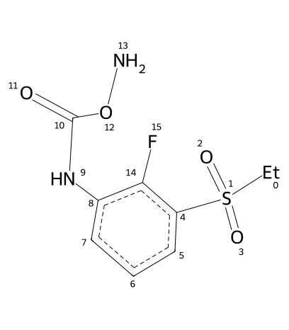 CCS(=O)(=O)c1cccc(NC(=O)ON)c1F